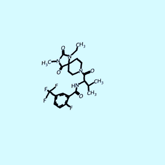 CCN1C(=O)N(C)C(=O)C12CCN(C(=O)C(NC(=O)c1cc(C(F)(F)F)ccc1F)C(C)C)CC2